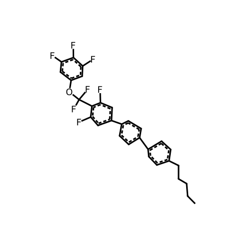 CCCCCc1ccc(-c2ccc(-c3cc(F)c(C(F)(F)Oc4cc(F)c(F)c(F)c4)c(F)c3)cc2)cc1